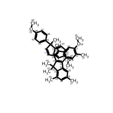 CNc1ccc(C(C)(/C=C\c2c3c(c4cc(C)c(OC)cc4c2C)-c2cc(C)cc(C)c2C3(C)C)c2ccc(OC)cc2)cc1